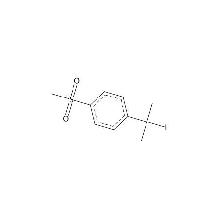 CC(C)(I)c1ccc(S(C)(=O)=O)cc1